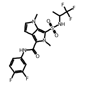 CC(NS(=O)(=O)c1c2c(ccn2C)c(C(=O)Nc2ccc(F)c(F)c2)n1C)C(F)(F)F